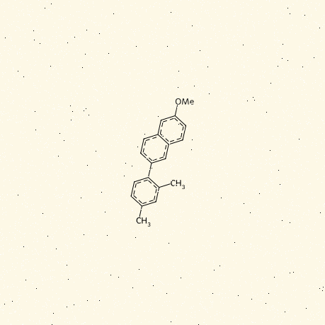 COc1ccc2cc(-c3ccc(C)cc3C)ccc2c1